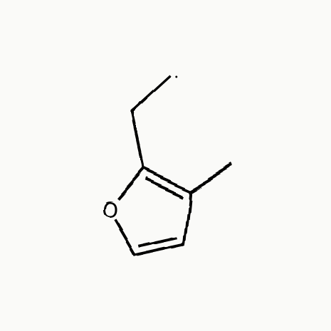 [CH2]Cc1occc1C